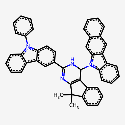 CC1(C)C2=C(c3ccccc31)C(n1c3ccccc3c3cc4ccccc4cc31)NC(c1ccc3c(c1)c1ccccc1n3-c1ccccc1)=N2